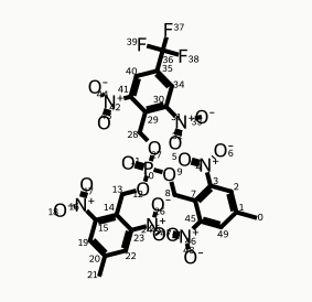 Cc1cc([N+](=O)[O-])c(COP(=O)(OCc2c([N+](=O)[O-])cc(C)cc2[N+](=O)[O-])OCc2c([N+](=O)[O-])cc(C(F)(F)F)cc2[N+](=O)[O-])c([N+](=O)[O-])c1